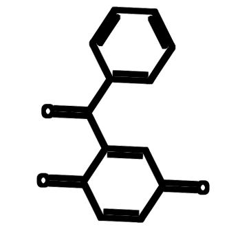 O=C1C=CC(=O)C(C(=O)c2ccccc2)=C1